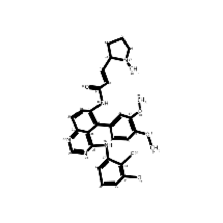 COc1ccc(-c2c(NC(=O)C=CC3CCCN3C)ccc3ncnc(Nc4cccc(Cl)c4F)c23)cc1OC